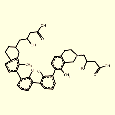 Cc1c(-c2cccc(-c3cccc(-c4ccc5c(c4C)CN(CC(O)CC(=O)O)CC5)c3Cl)c2Cl)ccc2c1CC(CC(O)CC(=O)O)CC2